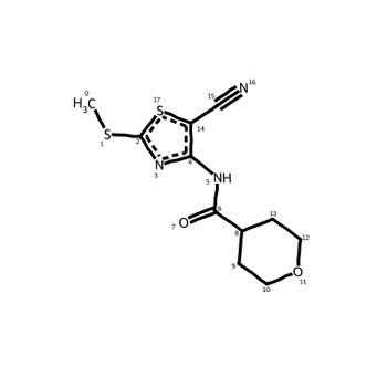 CSc1nc(NC(=O)C2CCOCC2)c(C#N)s1